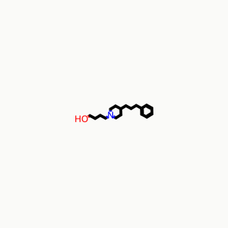 OCCCCN1CCC(CCCc2ccccc2)CC1